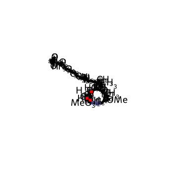 COc1cc2cc(c1Cl)N(C)C(=O)C[C@H](OC(=O)[C@H](C)N(C)C(=O)CCCCn1cc(COCCOCCOCCNC(=O)CCN3C(=O)C=CC3=O)nn1)C(C)(O)C[C@H](C)[C@@H]1C[C@@](O)(NC(=O)O1)C(OC)/C=C/C=C(\C)C2